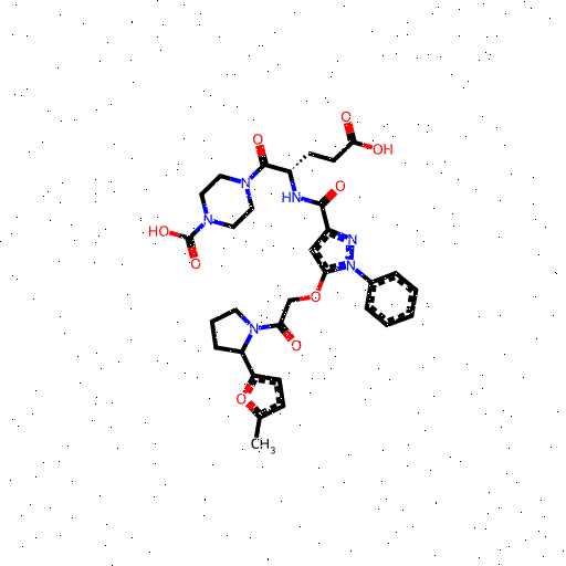 Cc1ccc(C2CCCN2C(=O)COc2cc(C(=O)N[C@@H](CCC(=O)O)C(=O)N3CCN(C(=O)O)CC3)nn2-c2ccccc2)o1